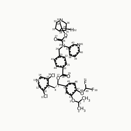 CC(C)Oc1cc([C@H](Cc2c(Cl)cncc2Cl)OC(=O)c2ccc(CN(C(=O)O[C@H]3CN4CCC3CC4)c3cccnc3)cc2)ccc1OC(F)F